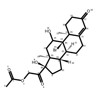 CC(=O)OCC(=O)[C@@]1(O)CC[C@H]2[C@@H]3CCC4=CC(=O)CC[C@]4(C)[C@@]3(Br)C(O)C[C@@]21C